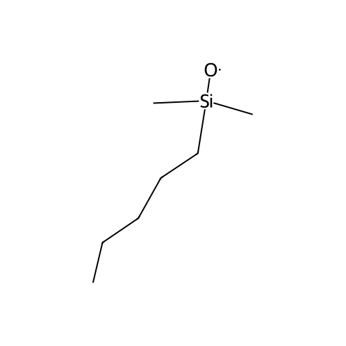 CCCCC[Si](C)(C)[O]